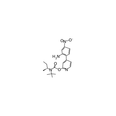 CC[C@H](C)N(C(=O)Oc1cc(-c2ccc([N+](=O)[O-])cc2N)ccn1)C(C)(C)C